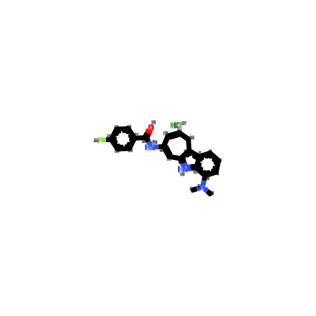 CN(C)c1cccc2c3c([nH]c12)C=C(NC(=O)c1ccc(F)cc1)C=CC3.Cl